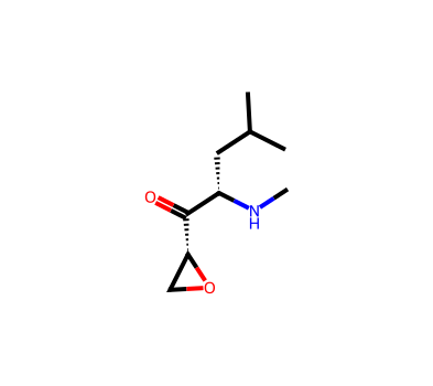 CN[C@@H](CC(C)C)C(=O)[C@H]1CO1